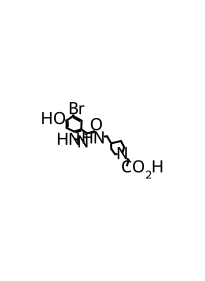 O=C(O)CN1CCC(CNC(=O)c2n[nH]c3cc(O)c(Br)cc23)CC1